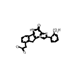 O=C(Cl)Cc1cccc2c1Cc1c-2[nH]c(=O)c2nc(-c3ccccc3C(=O)O)cn12